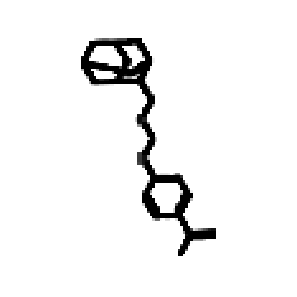 C=C(C)c1ccc(OCOCC2C3CC4CC(C3)CC2C4)cc1